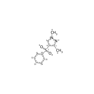 Cc1nn(C)cc1S(=O)(=O)c1ccccc1